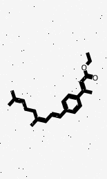 CCOC(=O)C=C(C)c1ccc(C=CC=C(C)CCC=C(C)C)cc1